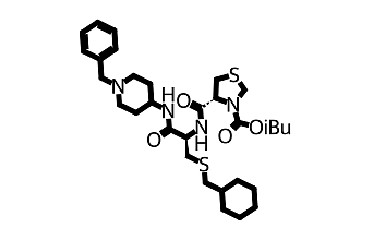 CC(C)COC(=O)N1CSC[C@H]1C(=O)N[C@@H](CSCC1CCCCC1)C(=O)NC1CCN(Cc2ccccc2)CC1